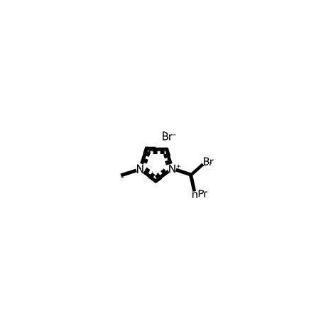 CCCC(Br)[n+]1ccn(C)c1.[Br-]